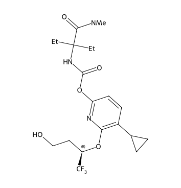 CCC(CC)(NC(=O)Oc1ccc(C2CC2)c(O[C@H](CCO)C(F)(F)F)n1)C(=O)NC